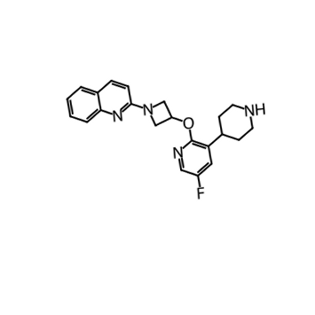 Fc1cnc(OC2CN(c3ccc4ccccc4n3)C2)c(C2CCNCC2)c1